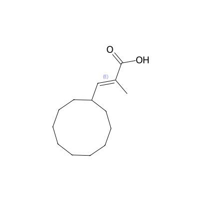 C/C(=C\C1CCCCCCCCC1)C(=O)O